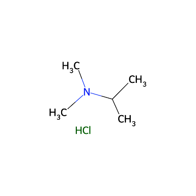 CC(C)N(C)C.Cl